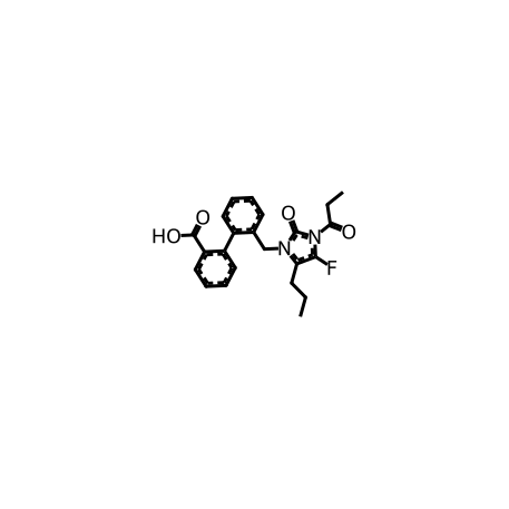 CCCc1c(F)n(C(=O)CC)c(=O)n1Cc1ccccc1-c1ccccc1C(=O)O